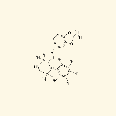 [2H]c1c([2H])c([C@H]2C(COc3ccc4c(c3)OC([2H])([2H])O4)C([2H])([2H])NCC2([2H])[2H])c([2H])c([2H])c1F